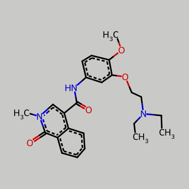 CCN(CC)CCOc1cc(NC(=O)c2cn(C)c(=O)c3ccccc23)ccc1OC